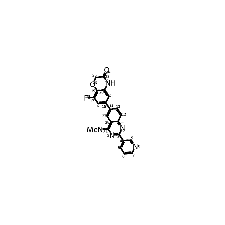 CNc1nc(-c2cccnc2)nc2ccc(-c3cc(F)c4c(c3)NC(=O)CO4)cc12